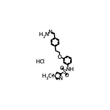 Cl.Cn1cnc(S(=O)(=O)Nc2cccc(OCCc3ccc(/C=N\N)cc3)c2)c1